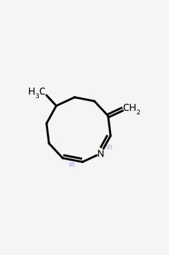 C=C1/C=N\C=C/CCC(C)CC1